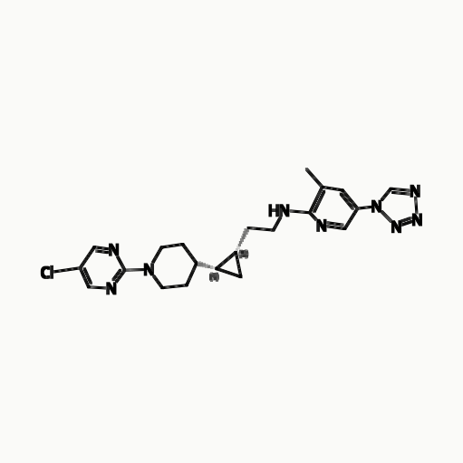 Cc1cc(-n2cnnn2)cnc1NCC[C@@H]1C[C@@H]1C1CCN(c2ncc(Cl)cn2)CC1